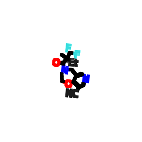 CC[C@](C)(C(=O)N1CCOc2c(C#N)cncc2C1)C(F)F